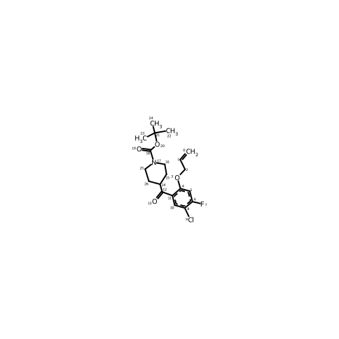 C=CCOc1cc(F)c(Cl)cc1C(=O)C1CCN(C(=O)OC(C)(C)C)CC1